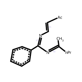 CCC/C(C)=N/C(=N\C=C\C(C)=O)c1ccccc1